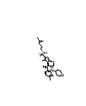 Cc1ccc(Nc2ncnc3sc(C(=O)NCCCN(C)C)c(C)c23)c(OC2CCOCC2)n1